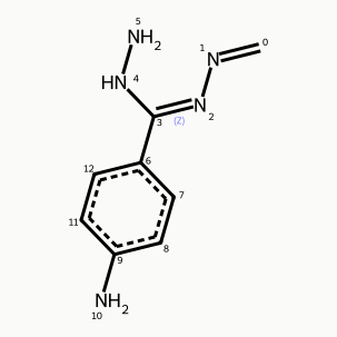 C=N/N=C(\NN)c1ccc(N)cc1